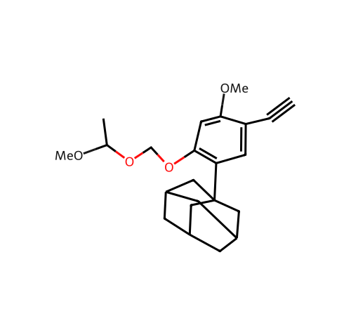 C#Cc1cc(C23CC4CC(CC(C4)C2)C3)c(OCOC(C)OC)cc1OC